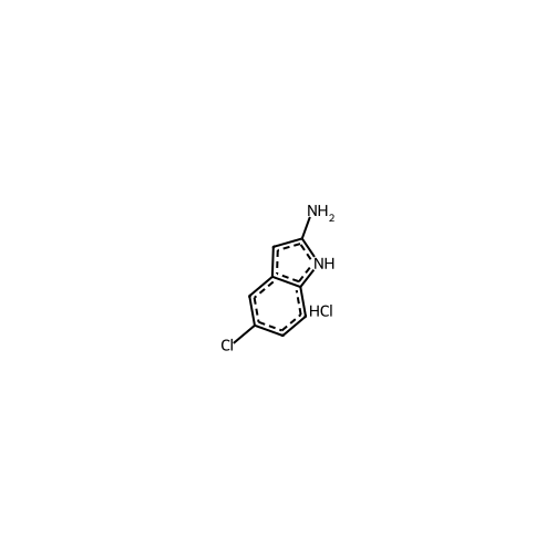 Cl.Nc1cc2cc(Cl)ccc2[nH]1